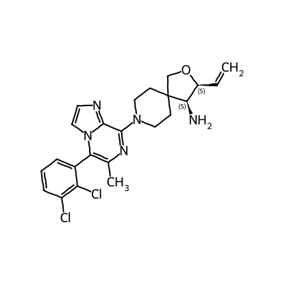 C=C[C@@H]1OCC2(CCN(c3nc(C)c(-c4cccc(Cl)c4Cl)n4ccnc34)CC2)[C@@H]1N